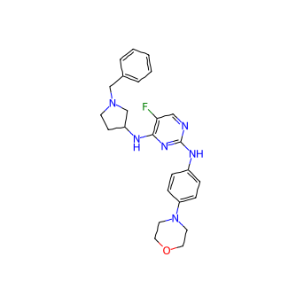 Fc1cnc(Nc2ccc(N3CCOCC3)cc2)nc1NC1CCN(Cc2ccccc2)C1